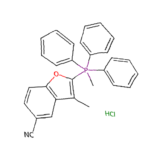 Cc1c(P(C)(c2ccccc2)(c2ccccc2)c2ccccc2)oc2ccc(C#N)cc12.Cl